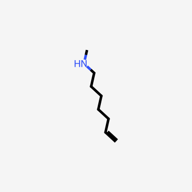 C=CCCCCCNC